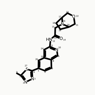 Cc1nnc(-c2ccc3cnc(NC(=O)CN4C5CCC4COC5)cc3c2)s1